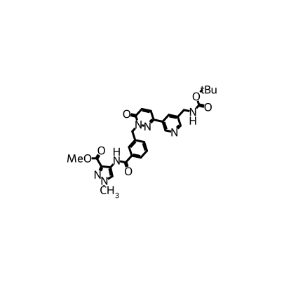 COC(=O)c1nn(C)cc1NC(=O)c1cccc(Cn2nc(-c3cncc(CNC(=O)OC(C)(C)C)c3)ccc2=O)c1